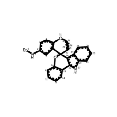 CCNc1ccc2c(c1)C1(Oc3ccccc3-c3[nH]c4ccccc4c31)c1ccccc1O2